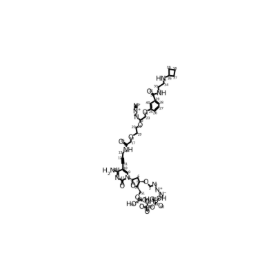 [N-]=[N+]=NCO[C@@H]1C[C@H](n2cc(C#CCNC(=O)COCCOC(COc3cccc(C(=O)NCCNC4CCC4)c3)N=[N+]=[N-])c(N)nc2=O)O[C@@H]1COP(=O)(O)OP(=O)(O)OP(=O)(O)O